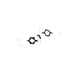 COc1cc2ncc(NC3CCC(O)CC3)nc2cc1OC